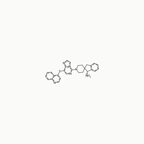 N[C@@H]1c2ccccc2CC12CCN(c1ncc(Sc3ccnc4ccccc34)c3nccn13)CC2